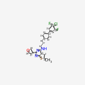 Cc1cc2c(NCCCc3ccc(-c4cc(F)c(Cl)c(F)c4)cc3)nc(-c3ccoc3)nc2s1